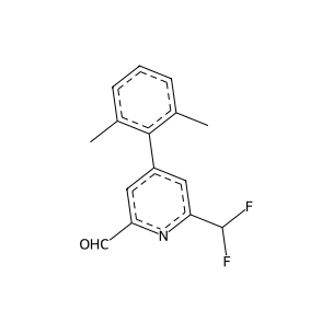 Cc1cccc(C)c1-c1cc(C=O)nc(C(F)F)c1